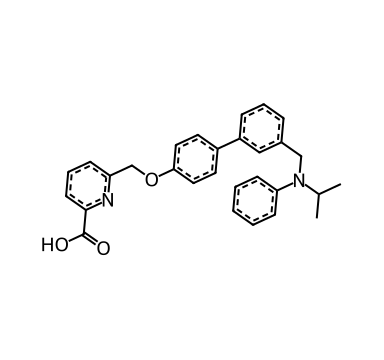 CC(C)N(Cc1cccc(-c2ccc(OCc3cccc(C(=O)O)n3)cc2)c1)c1ccccc1